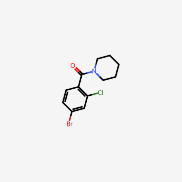 O=C(c1ccc(Br)cc1Cl)N1CCCCC1